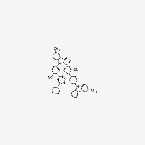 Cc1ccc2c(c1)c1ccccc1n2-c1ccc(C#N)c(-c2nc(-c3ccccc3)nc(-c3cc(-n4c5ccccc5c5cc(C)ccc54)ccc3-c3ccccc3C#N)n2)c1